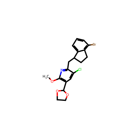 COc1nc(CC2CCc3c(Br)cccc32)c(Cl)cc1C1OCCO1